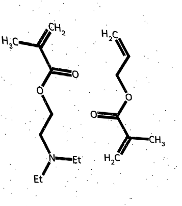 C=C(C)C(=O)OCCN(CC)CC.C=CCOC(=O)C(=C)C